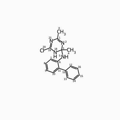 CC1=NC(C)(Nc2ccccc2-c2ccccc2)NC(Cl)=N1